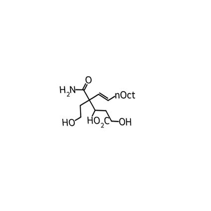 CCCCCCCCC=CC(CCO)(C(N)=O)C(CCO)C(=O)O